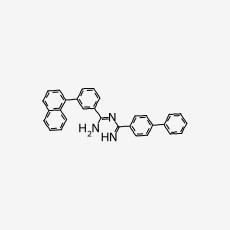 N=C(/N=C(\N)c1cccc(-c2cccc3ccccc23)c1)c1ccc(-c2ccccc2)cc1